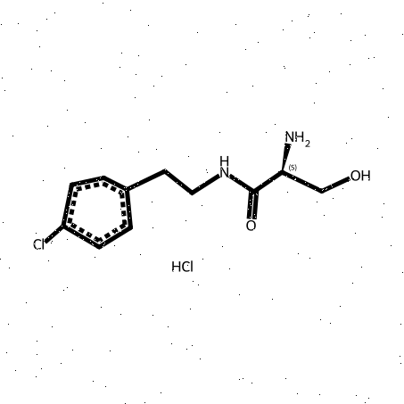 Cl.N[C@@H](CO)C(=O)NCCc1ccc(Cl)cc1